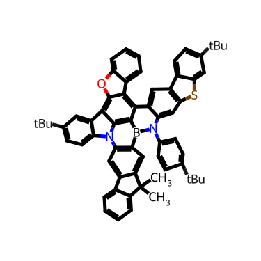 CC(C)(C)c1ccc(N2B3c4cc5c(cc4-n4c6ccc(C(C)(C)C)cc6c6c7oc8ccccc8c7c(c3c64)-c3cc4c(cc32)sc2cc(C(C)(C)C)ccc24)-c2ccccc2C5(C)C)cc1